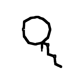 CCOCOC1(I)CCCCCCCCCCC1